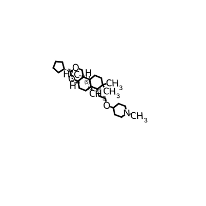 CN1CCC(OCC[C@@H]2C(C)(C)CC[C@@H]3[C@]4(C)CO[C@@H](C5CCCC5)O[C@@H]4CC[C@]32C)CC1